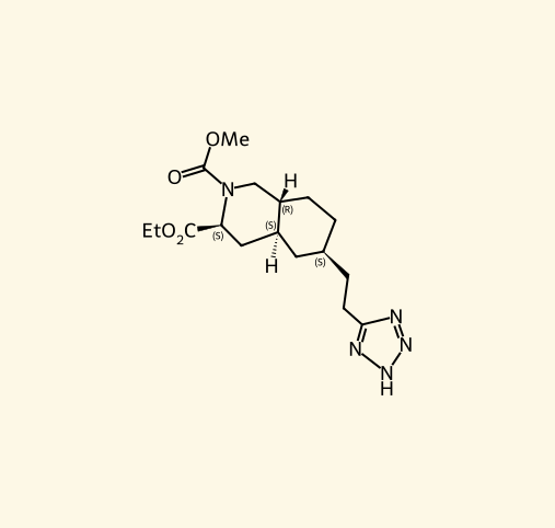 CCOC(=O)[C@@H]1C[C@@H]2C[C@H](CCc3nn[nH]n3)CC[C@H]2CN1C(=O)OC